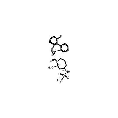 C[C@@H]1C[C@H](NS(C)(=O)=O)CCCN1C(=O)[C@@H]1C[C@H]1c1ccccc1-c1c(F)cccc1F